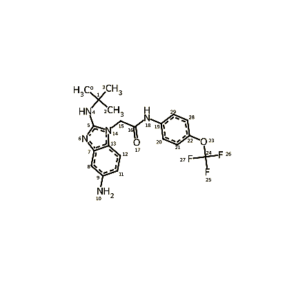 CC(C)(C)Nc1nc2cc(N)ccc2n1CC(=O)Nc1ccc(OC(F)(F)F)cc1